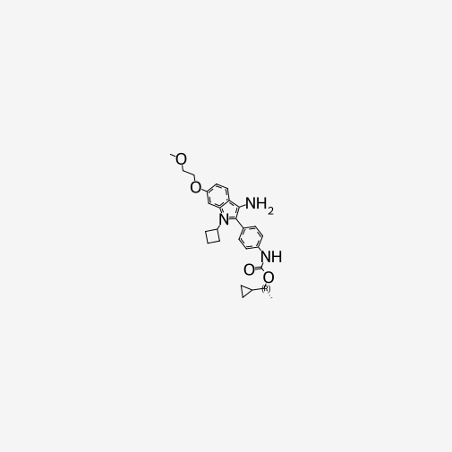 COCCOc1ccc2c(N)c(-c3ccc(NC(=O)O[C@H](C)C4CC4)cc3)n(C3CCC3)c2c1